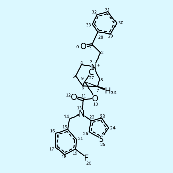 O=C(C[N+]12CCC(CC1)[C@@H](OC(=O)N(Cc1cccc(F)c1)c1ccsc1)C2)c1ccccc1